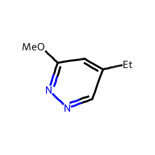 CCc1cnnc(OC)c1